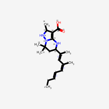 CC/C=C/C=C(C)\C=C(/C)C1CC(C)(C)N2NC(C)C(C(=O)O)=C2N1